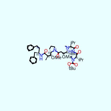 CC[C@H](C)[C@@H]([C@@H](CC(=O)N1CCC[C@H]1[C@H](OC)[C@@H](C)C(=O)N[C@H](/C=C\c1ccccc1)Cc1ccccc1)OC)N(C)[C@H](C(=O)NC(=O)[C@H](C(C)C)N(C)C(=O)OC(C)(C)C)C(C)C